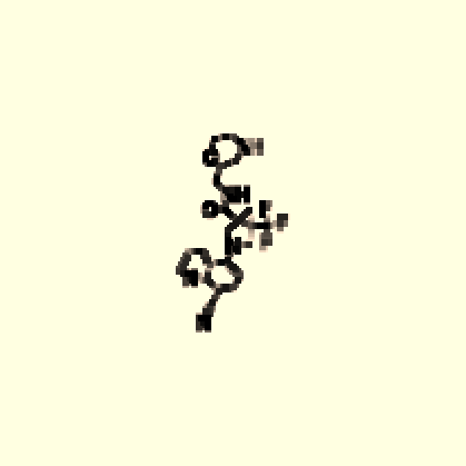 N#Cc1ccc(N2C[C@]3(C(=O)NC[C@@H]4CNCCO4)C[C@]3(C(F)(F)F)C2)c2cccnc12